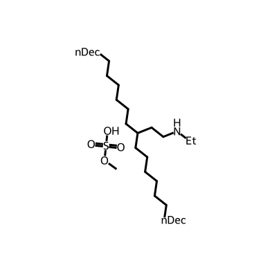 CCCCCCCCCCCCCCCCC(CCCCCCCCCCCCCCCC)CCNCC.COS(=O)(=O)O